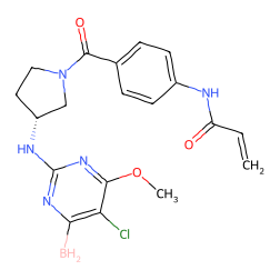 Bc1nc(N[C@@H]2CCN(C(=O)c3ccc(NC(=O)C=C)cc3)C2)nc(OC)c1Cl